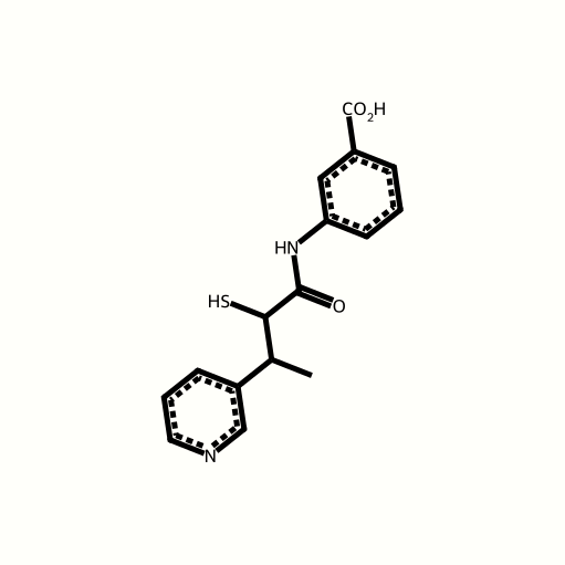 CC(c1cccnc1)C(S)C(=O)Nc1cccc(C(=O)O)c1